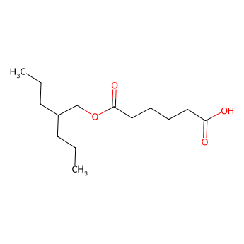 CCCC(CCC)COC(=O)CCCCC(=O)O